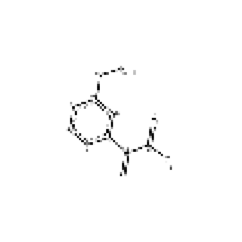 C=C(C(=O)O)c1cccc(CN)c1